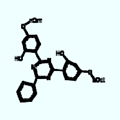 CCCCCCCCOc1ccc(-c2nc(-c3ccccc3)nc(-c3ccc(OCCCCCCCC)cc3O)n2)c(O)c1